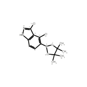 CC1(C)OB(c2ccc3[nH]nc(Cl)c3c2Cl)OC1(C)C